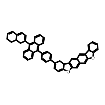 C1=CC2=CC=C(c3c4ccccc4c(-c4ccc(C5=CC=C6Oc7cc8cc9oc%10ccccc%10c9cc8cc7C6C5)cc4)c4ccccc34)CC2CC1